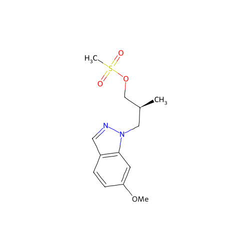 COc1ccc2cnn(C[C@H](C)COS(C)(=O)=O)c2c1